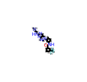 Cc1ccc(NC(=O)c2cccc(C(F)(F)F)c2)cc1N1Cc2cnc(NCCN(C)C)nc2N(C)C1